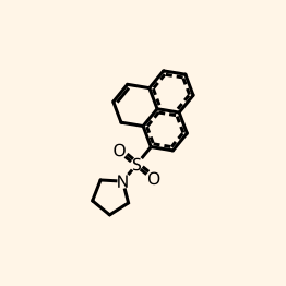 O=S(=O)(c1ccc2cccc3c2c1CC=C3)N1CCCC1